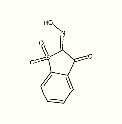 O=C1C(=NO)S(=O)(=O)c2ccccc21